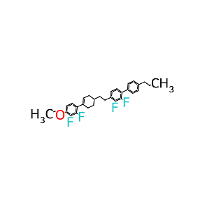 CCCc1ccc(-c2ccc(CCC3CC=C(c4ccc(OCC)c(F)c4F)CC3)c(F)c2F)cc1